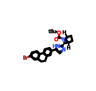 CC(C)(C)OC(=O)N1[C@@H]2CC[C@@H](C2)[C@H]1c1ncc(-c2ccc3c(c2)CCc2cc(Br)ccc2-3)[nH]1